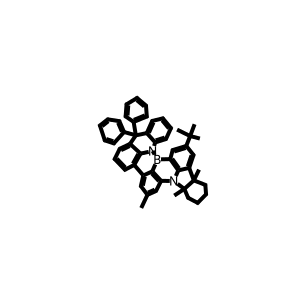 Cc1cc2c3c(c1)N1c4c(cc(C(C)(C)C)cc4C4(C)CCCCC14C)B3N1c3ccccc3C(c3ccccc3)(c3ccccc3)c3cccc-2c31